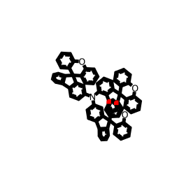 c1ccc2c(c1)Oc1ccccc1C21c2ccccc2-c2ccc(N(c3ccc4c(c3)C3(c5ccccc5Oc5ccccc53)c3ccccc3-4)c3cccc4c3-c3ccccc3C43c4ccccc4Oc4ccccc43)cc21